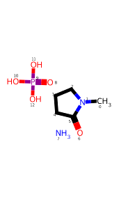 CN1CCCC1=O.N.O=P(O)(O)O